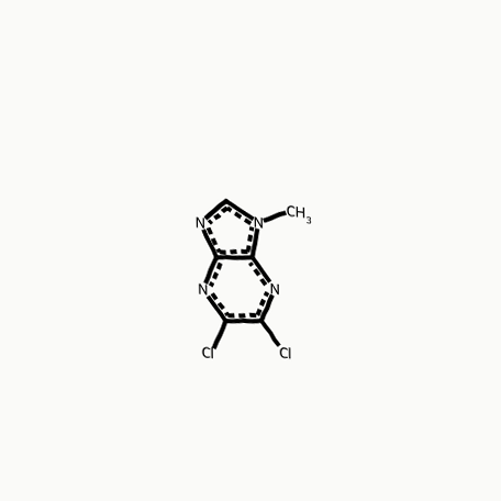 Cn1cnc2nc(Cl)c(Cl)nc21